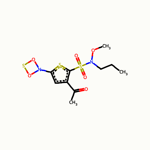 CCCN(OC)S(=O)(=O)c1sc(N2OSO2)cc1C(C)=O